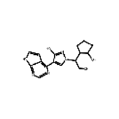 N#CCC(C1CCCC1O)n1cc(-c2ncnc3[nH]ccc23)c(O)n1